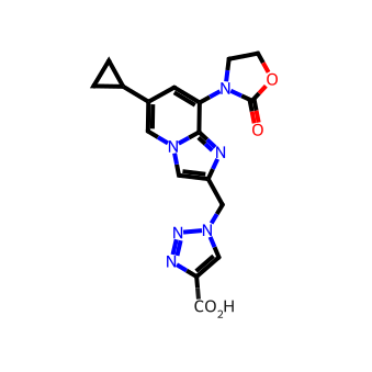 O=C(O)c1cn(Cc2cn3cc(C4CC4)cc(N4CCOC4=O)c3n2)nn1